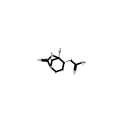 O=C(O)C[C@@H]1CCN2C[C@H]1OC2=O